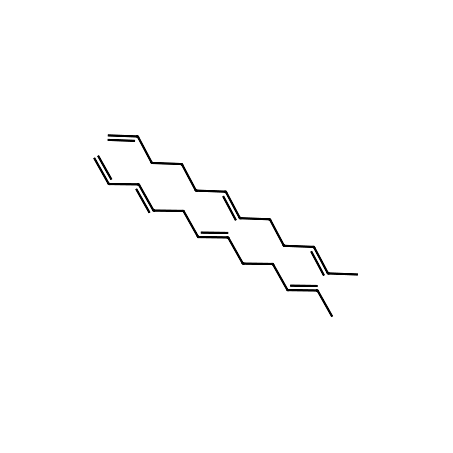 C=C/C=C/C/C=C/CC/C=C/C.C=CCCC/C=C/CC/C=C/C